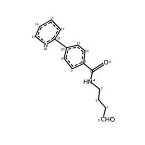 O=CCCCNC(=O)c1ccc(-c2ccccn2)cc1